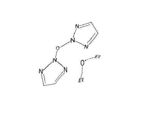 CCOCC.c1cnn(On2nccn2)n1